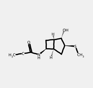 CCC(=O)N[C@H]1C[C@H]2[C@H](O)[C@@H](SC)C[C@H]21